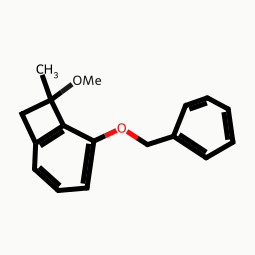 COC1(C)Cc2cccc(OCc3ccccc3)c21